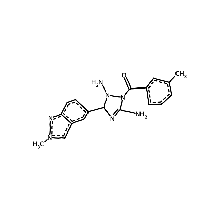 Cc1cccc(C(=O)N2C(N)=NC(c3ccc4nn(C)cc4c3)N2N)c1